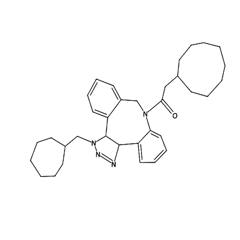 O=C(CC1CCCCCCCC1)N1Cc2ccccc2C2C(N=NN2CC2CCCCCC2)c2ccccc21